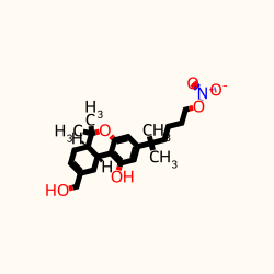 CC(C)(CCCCO[N+](=O)[O-])c1cc(O)c2c(c1)OC(C)(C)[C@@H]1CC=C(CO)C[C@@H]21